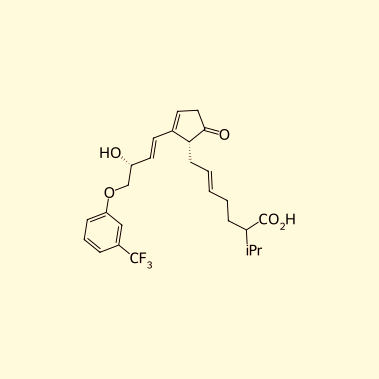 CC(C)C(CCC=CC[C@H]1C(=O)CC=C1/C=C/[C@@H](O)COc1cccc(C(F)(F)F)c1)C(=O)O